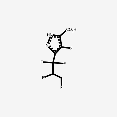 O=C(O)c1[nH]nc(C(F)(F)C(F)CF)c1F